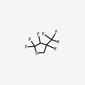 FC1C(F)(F)SCC1(F)C(F)(F)F